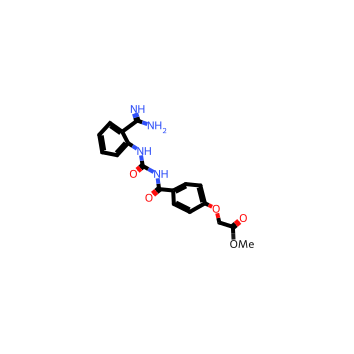 COC(=O)COc1ccc(C(=O)NC(=O)Nc2ccccc2C(=N)N)cc1